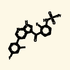 CCCS(=O)(=O)Nc1cccc(C(=O)c2c[nH]c3ncc(-c4ccc(F)cc4C)cc23)c1F